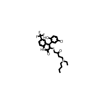 CCCCN(CC)CCC(=O)CSc1c(-c2cc(Cl)ccc2O)c2cc(C(F)(F)F)ccc2[nH]c1=O